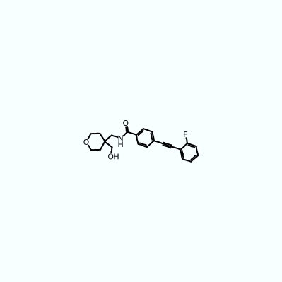 O=C(NCC1(CO)CCOCC1)c1ccc(C#Cc2ccccc2F)cc1